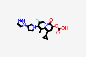 Cc1c(N2CCC(n3ccnn3)C2)c(F)cn2c(=O)c(OC(=O)O)cc(C3CC3)c12